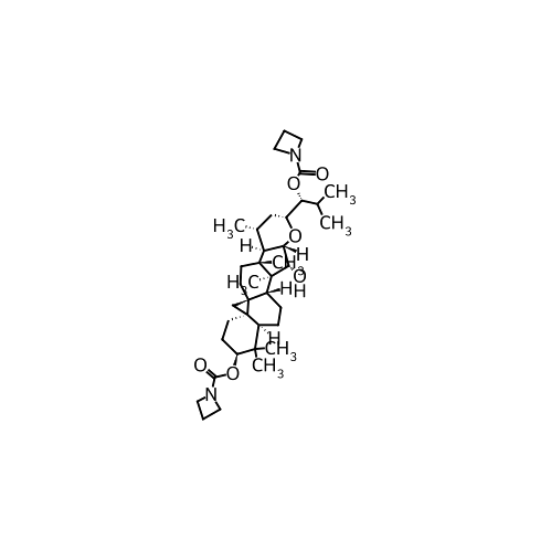 CC(C)[C@@H](OC(=O)N1CCC1)[C@H]1C[C@@H](C)[C@H]2[C@H](O1)[C@H](O)[C@@]1(C)[C@@H]3CC[C@H]4C(C)(C)[C@@H](OC(=O)N5CCC5)CC[C@@]45C[C@@]35CC[C@]21C